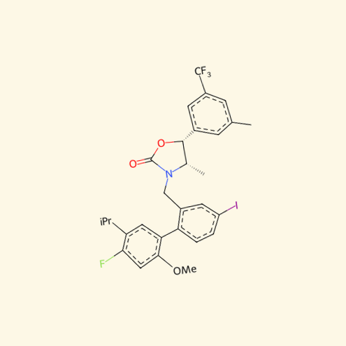 COc1cc(F)c(C(C)C)cc1-c1ccc(I)cc1CN1C(=O)O[C@H](c2cc(C)cc(C(F)(F)F)c2)[C@@H]1C